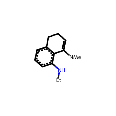 CCNc1cccc2c1C(NC)=CCC2